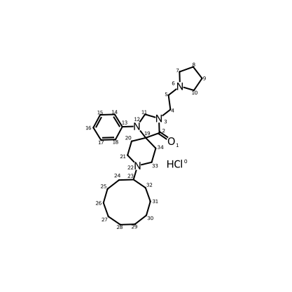 Cl.O=C1N(CCN2CCCC2)CN(c2ccccc2)C12CCN(C1CCCCCCCCC1)CC2